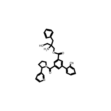 N#Cc1ccccc1-c1cc(C(=O)OCC(N)(CO)Cc2ccccc2)cc(C(=O)N2CCCC2c2cccnc2)c1